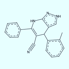 Cc1ccccc1C1C(C#N)=C(c2ccccc2)Nc2n[nH]cc21